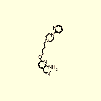 C/N=C\c1ccc(OCCCCN2CCN(c3ccccn3)CC2)nc1N